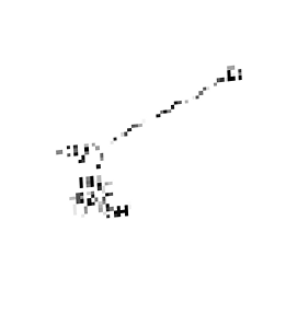 CCC=CCC=CCC=CCC=CCC=CCC=CCC(CCCNC(=O)[C@H](O)C(C)(C)CO)C(=O)O